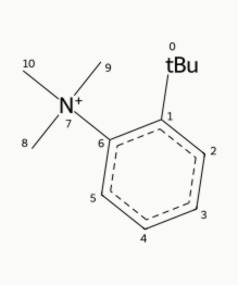 CC(C)(C)c1ccccc1[N+](C)(C)C